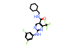 O=C(NCC1CCCCC1)c1cnc(Nc2cc(F)cc(F)c2)nc1C(F)(F)F